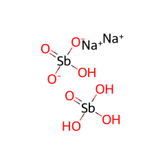 [Na+].[Na+].[O]=[Sb]([O-])([O-])[OH].[O]=[Sb]([OH])([OH])[OH]